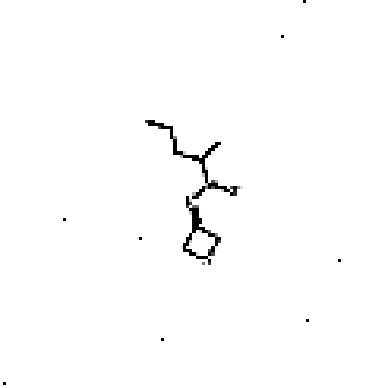 CCCC(C)[S+]([O-])N=C1COC1